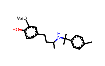 COc1cc(CCC(C)NC(C)(C)c2ccc(C)cc2)ccc1O